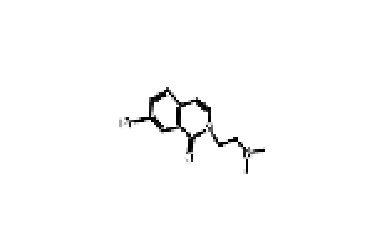 CC(C)c1ccc2ccn(CCN(C)C)c(=O)c2c1